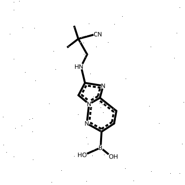 CC(C)(C#N)CNc1cn2nc(B(O)O)ccc2n1